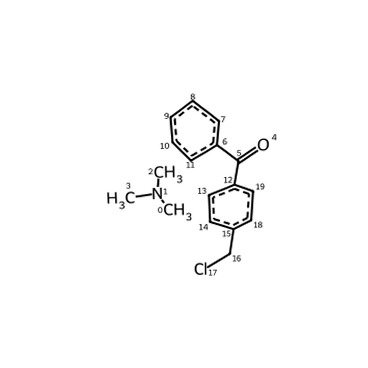 CN(C)C.O=C(c1ccccc1)c1ccc(CCl)cc1